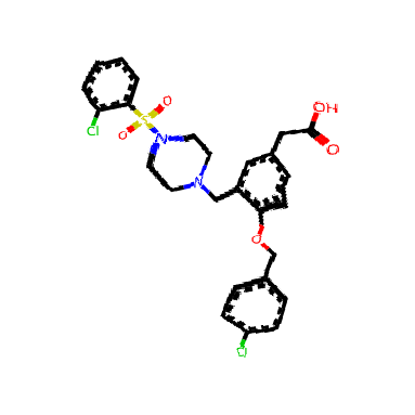 O=C(O)Cc1ccc(OCc2ccc(Cl)cc2)c(CN2CCN(S(=O)(=O)c3ccccc3Cl)CC2)c1